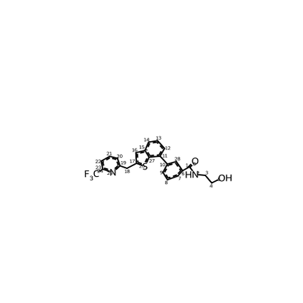 O=C(NCCO)c1cccc(-c2cccc3cc(Cc4cccc(C(F)(F)F)n4)sc23)c1